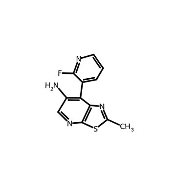 Cc1nc2c(-c3cccnc3F)c(N)cnc2s1